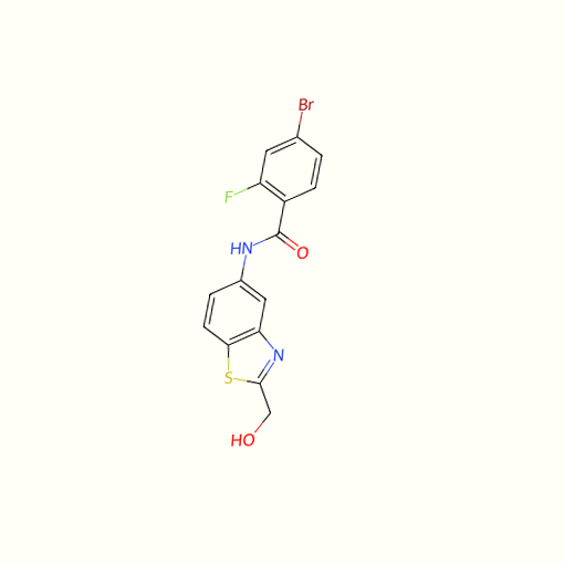 O=C(Nc1ccc2sc(CO)nc2c1)c1ccc(Br)cc1F